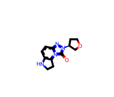 O=c1n([C@H]2CCOC2)nc2ccc3c(n12)CCN3